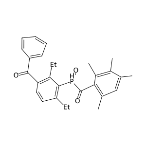 CCc1ccc(C(=O)c2ccccc2)c(CC)c1[PH](=O)C(=O)c1c(C)cc(C)c(C)c1C